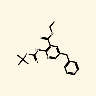 CCOC(=O)c1cc(Cc2ccccc2)cnc1NC(=O)OC(C)(C)C